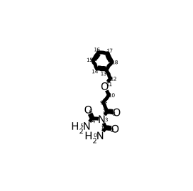 NC(=O)N(C(N)=O)C(=O)[CH]COCc1ccccc1